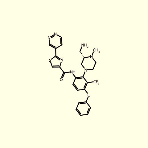 CN1CCN(c2c(NC(=O)c3csc(-c4ccnnc4)n3)ccc(Oc3ccccc3)c2C(F)(F)F)C[C@@H]1CN